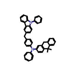 CC1(C)c2ccccc2Cc2cc(N(C3=C=CC=CC=C3)c3ccc(Cc4ccc5c(c4)c4ccccc4n5-c4ccccc4)cc3)ccc21